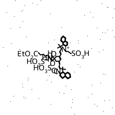 CCOC(=O)CCCCCNC(=O)C1(C(=O)NCCS(=O)(=O)O)CC(/C=C/C2=[N+](CCCS(=O)(=O)O)c3ccc4ccccc4c3C2(C)C)=CC(=C/C=C2/N(CCCS(=O)(=O)O)c3ccc4ccccc4c3C2(C)C)/C1